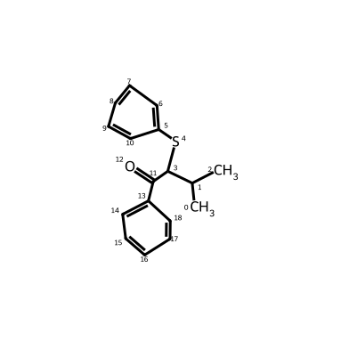 CC(C)C(Sc1ccccc1)C(=O)c1ccccc1